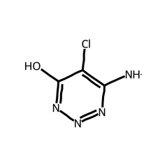 [NH]c1nnnc(O)c1Cl